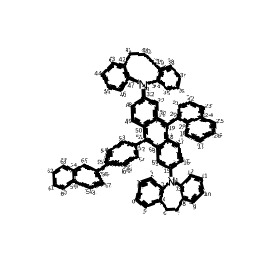 c1ccc2c(c1)CCc1ccccc1N2c1ccc2c(-c3cccc4ccccc34)c3cc(N4c5ccccc5CCc5ccccc54)ccc3c(-c3ccc(-c4ccc5ccccc5c4)cc3)c2c1